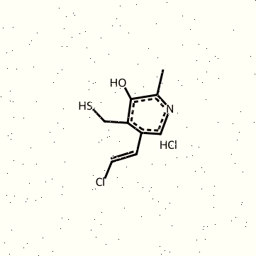 Cc1ncc(C=CCl)c(CS)c1O.Cl